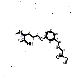 C/N=C(/CCCOc1cccc(CNCC(=O)OC)c1)C(C)=N